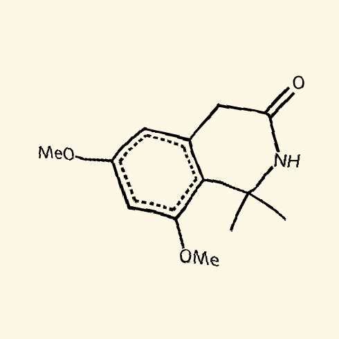 COc1cc2c(c(OC)c1)C(C)(C)NC(=O)C2